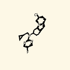 Fc1cnc(N(CC2CC2)C2CCc3cc4ccc(Cl)cn4c3C2)nc1